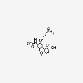 COc1cccc(OC)c1-c1cc(OCCCC[PH2]=O)c(NC(=O)C=O)cc1C.[KH]